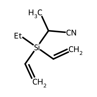 C=C[Si](C=C)(CC)C(C)C#N